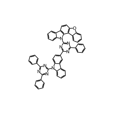 c1ccc(-c2nc(-c3ccccc3)nc(-n3c4ccccc4c4cc(-c5nc(-c6ccccc6)nc(-n6c7ccccc7c7ccc8oc9ccccc9c8c76)n5)ccc43)n2)cc1